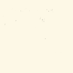 NN(c1ccc(-c2ccccc2)cc1)c1ccc2c(c1)sc1ccccc12